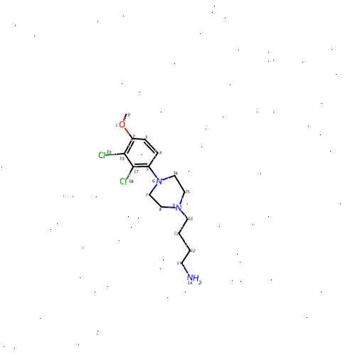 COc1ccc(N2CCN(CCCCN)CC2)c(Cl)c1Cl